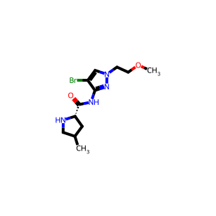 COCCn1cc(Br)c(NC(=O)[C@@H]2CC(C)CN2)n1